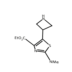 CCOC(=O)c1nc(NC)sc1C1CNC1